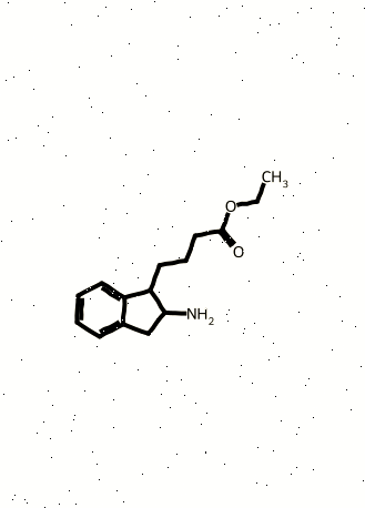 CCOC(=O)CCCC1c2ccccc2CC1N